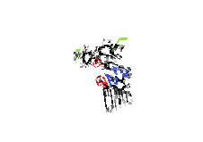 COC(=O)c1cccc(CN2CC[C@H](OC(c3ccc(F)cc3)c3ccc(F)cc3)C2)n1